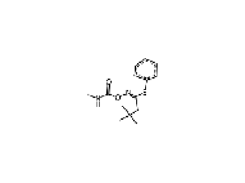 CNC(=O)ON=C(CC(C)(C)C)Sc1ccccc1